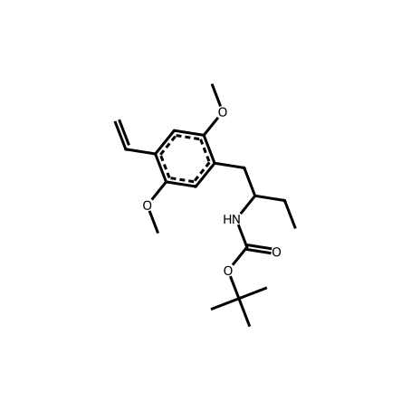 C=Cc1cc(OC)c(CC(CC)NC(=O)OC(C)(C)C)cc1OC